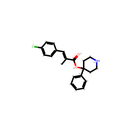 C/C(=C\c1ccc(Cl)cc1)C(=O)OC1(c2ccccc2)CCNCC1